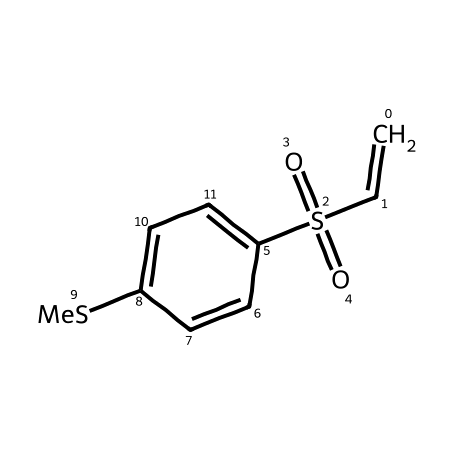 C=CS(=O)(=O)c1ccc(SC)cc1